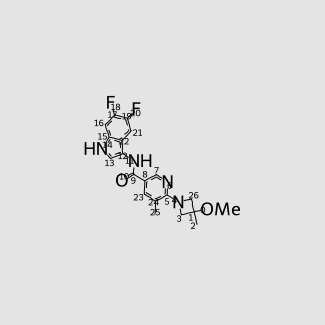 COC1(C)CN(c2ncc(C(=O)Nc3c[nH]c4cc(F)c(F)cc34)cc2C)C1